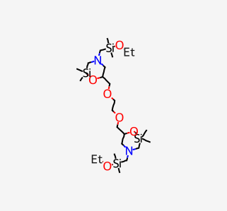 CCO[Si](C)(C)CN1CC(COCCOCC2CN(C[Si](C)(C)OCC)C[Si](C)(C)O2)O[Si](C)(C)C1